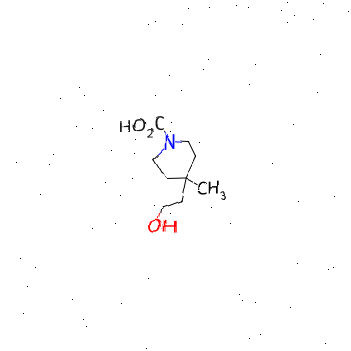 CC1(CCO)CCN(C(=O)O)CC1